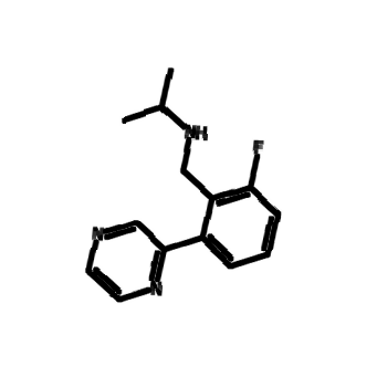 CC(C)NCc1c(F)cccc1-c1cnccn1